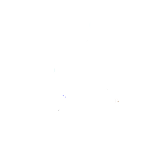 CCn1c(-c2c(F)cc(F)cc2F)c(CBr)cc(Cl)c1=O